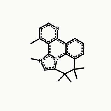 Cc1ccnc2c3cccc4c3n3c(c[n+](C)c3c12)C(C)(C)C4(C)C